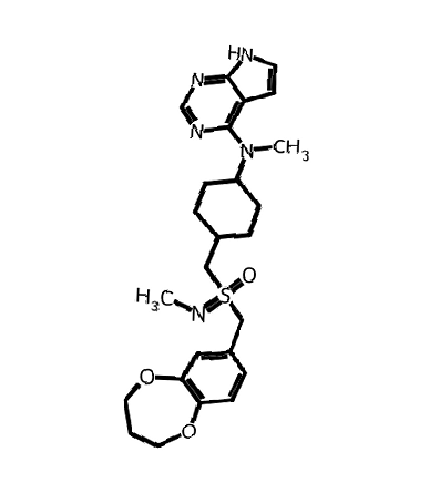 CN=S(=O)(Cc1ccc2c(c1)OCCCO2)CC1CCC(N(C)c2ncnc3[nH]ccc23)CC1